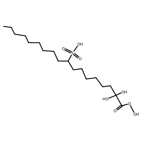 CCCCCCCCCC(CCCCCCC(O)(O)C(=O)OO)S(=O)(=O)O